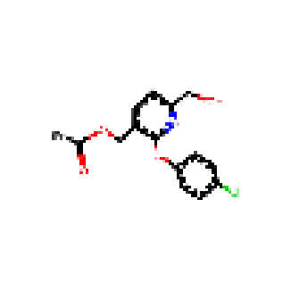 CC(C)C(=O)OCc1ccc(CO)nc1Oc1ccc(Cl)cc1